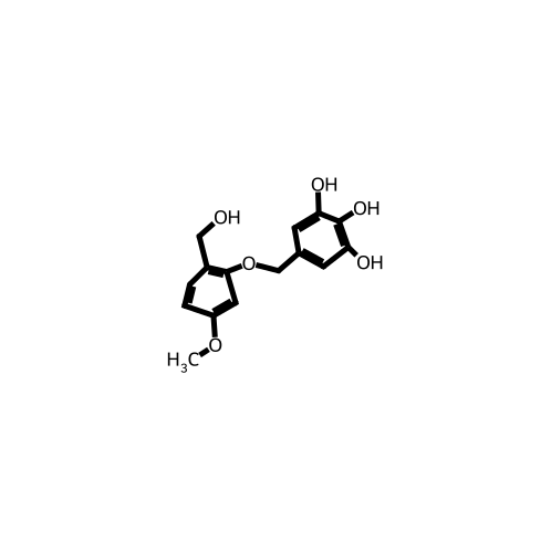 COc1ccc(CO)c(OCc2cc(O)c(O)c(O)c2)c1